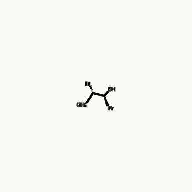 CC[C@@H](C=O)[C@@H](O)C(C)C